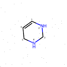 [C]1=CNCNC1